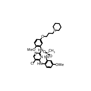 COc1ccc(Nc2nc(Nc3cc(OCCCN4CCCCC4)ccc3OC)ncc2Cl)c(NS(C)(=O)=O)c1